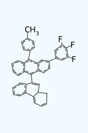 Cc1ccc(-c2c3ccccc3c(C3=CC4CC=CC=C4c4ccccc43)c3ccc(-c4cc(F)c(F)c(F)c4)cc23)cc1